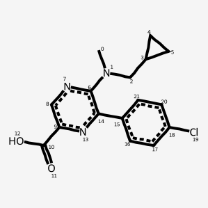 CN(CC1CC1)c1ncc(C(=O)O)nc1-c1ccc(Cl)cc1